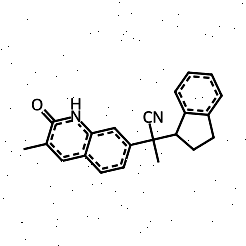 Cc1cc2ccc(C(C)(C#N)C3CCc4ccccc43)cc2[nH]c1=O